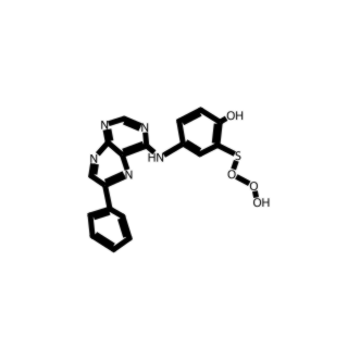 OOOSc1cc(Nc2ncnc3ncc(-c4ccccc4)nc23)ccc1O